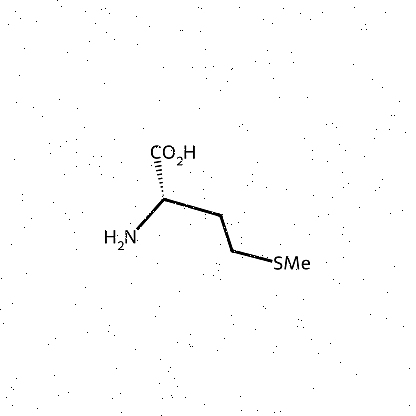 [13CH3]SCC[C@H](N)C(=O)O